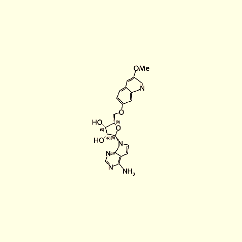 COc1cnc2cc(OC[C@H]3O[C@@H](n4ccc5c(N)ncnc54)[C@H](O)[C@@H]3O)ccc2c1